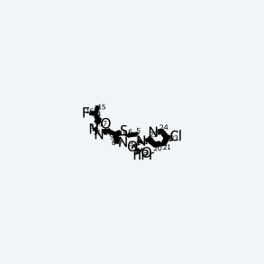 CCCS(=O)(=O)N(Cc1ncc(-c2nnc(C(C)F)o2)s1)c1ccc(Cl)cn1